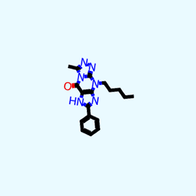 CCCCCn1c2nc(-c3ccccc3)[nH]c2c(=O)n2c(C)nnc12